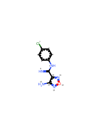 N=C(Nc1ccc(Cl)cc1)c1nonc1N